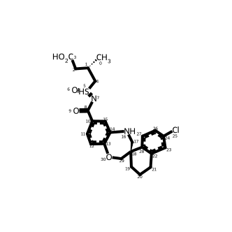 C[C@@H](CC(=O)O)C/[SH](=O)=N/C(=O)c1ccc2c(c1)NC[C@@]1(CCCc3cc(Cl)ccc31)CO2